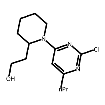 CCCc1cc(N2CCCCC2CCO)nc(Cl)n1